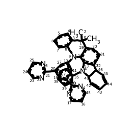 CC1(C)c2ccccc2N(c2cc(-c3ncccn3)cc(-c3ncccn3)c2)c2c1ccc1c2N(c2ccccc2)C2C=CC=CC12